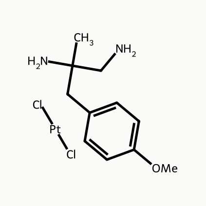 COc1ccc(CC(C)(N)CN)cc1.[Cl][Pt][Cl]